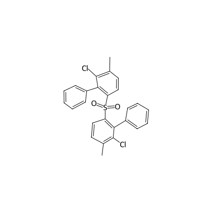 Cc1ccc(S(=O)(=O)c2ccc(C)c(Cl)c2-c2ccccc2)c(-c2ccccc2)c1Cl